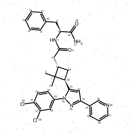 CC1(C)[C@H](CC(=O)N[C@@H](Cc2ccccc2)C(N)=O)C[C@H]1c1cc(-c2cccnc2)nn1-c1ccc(Cl)c(Cl)c1